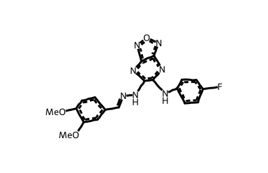 COc1ccc(/C=N/Nc2nc3nonc3nc2Nc2ccc(F)cc2)cc1OC